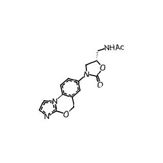 CC(=O)NC[C@H]1CN(c2ccc3c(c2)COc2nccn2-3)C(=O)O1